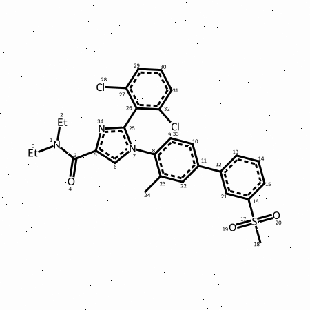 CCN(CC)C(=O)c1cn(-c2ccc(-c3cccc(S(C)(=O)=O)c3)cc2C)c(-c2c(Cl)cccc2Cl)n1